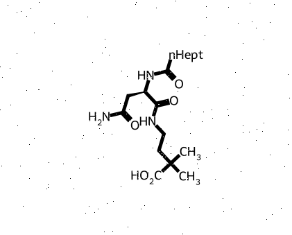 CCCCCCCC(=O)N[C@H](CC(N)=O)C(=O)NCCC(C)(C)C(=O)O